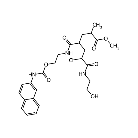 COC(=O)C(C)CC(CC(Cl)C(=O)NCCO)C(=O)NCCOC(=O)Nc1ccc2ccccc2c1